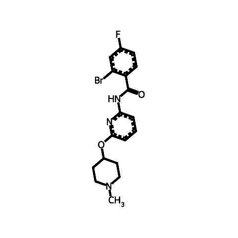 CN1CCC(Oc2cccc(NC(=O)c3ccc(F)cc3Br)n2)CC1